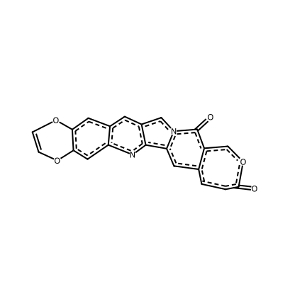 O=c1ccc2cc3c4nc5cc6c(cc5cc4cn3c(=O)c2co1)OC=CO6